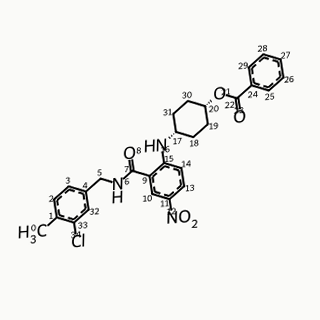 Cc1ccc(CNC(=O)c2cc([N+](=O)[O-])ccc2N[C@H]2CC[C@@H](OC(=O)c3ccccc3)CC2)cc1Cl